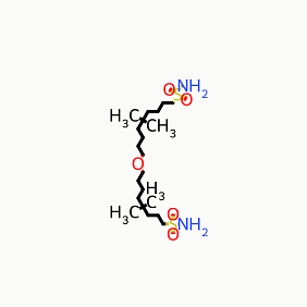 CC(C)(CCCCOCCCCC(C)(C)CCCS(N)(=O)=O)CCCCS(N)(=O)=O